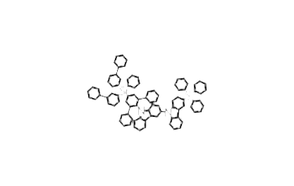 c1ccc(-c2cccc([Si](c3ccccc3)(c3cccc(-c4ccccc4)c3)c3cc(-c4ccccc4)c(-n4c5ccccc5c5cc(-n6c7ccccc7c7cc([Si](c8ccccc8)(c8ccccc8)c8ccccc8)ccc76)ccc54)c(-c4ccccc4)c3)c2)cc1